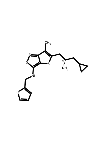 Cc1c(C[C@@H](N)CC2CC2)sc2c(NCc3ccco3)snc12